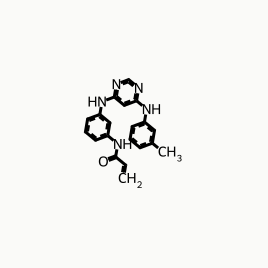 C=CC(=O)Nc1cccc(Nc2cc(Nc3cccc(C)c3)ncn2)c1